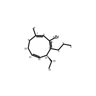 CCC/C1=C(Br)/C=C(/C)CCC=C[C@@H]1CC